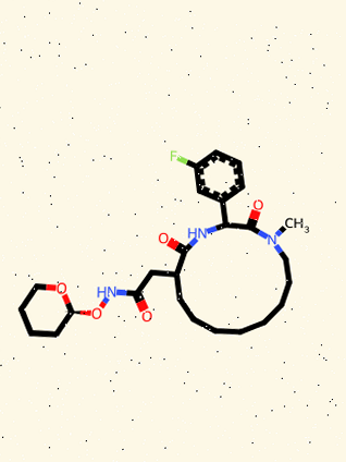 CN1CCCCCCCCC(CC(=O)NO[C@H]2CCCCO2)C(=O)NC(c2cccc(F)c2)C1=O